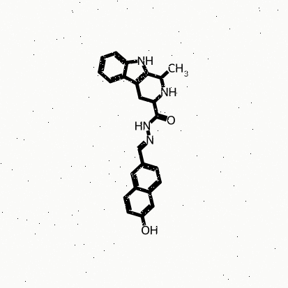 CC1NC(C(=O)N/N=C/c2ccc3cc(O)ccc3c2)Cc2c1[nH]c1ccccc21